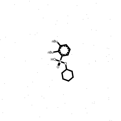 CCCCc1cccc(P(=O)(O)OC2CCCCC2)c1CCCC